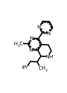 Cc1nc(-c2ncccn2)c2c(n1)C(C(C)CC(C)C)NCC2